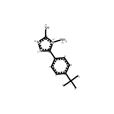 CC(C)(C)c1ccc(-c2nnc(S)n2N)cc1